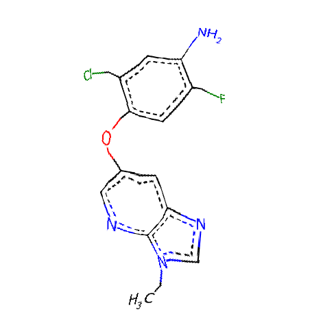 Cn1cnc2cc(Oc3cc(F)c(N)cc3Cl)cnc21